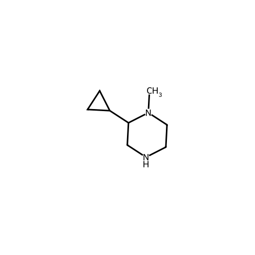 CN1CCNCC1C1CC1